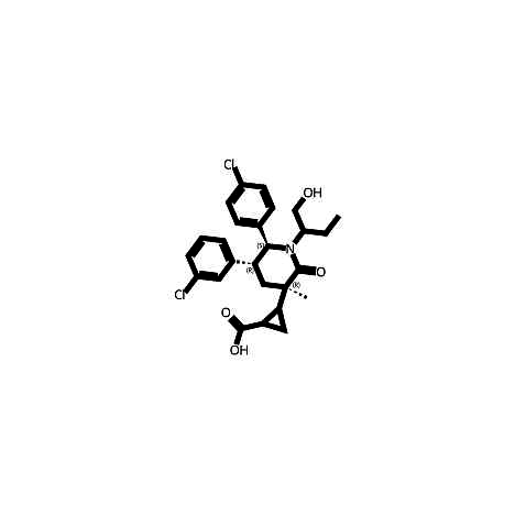 CCC(CO)N1C(=O)[C@@](C)(C2CC2C(=O)O)C[C@H](c2cccc(Cl)c2)[C@H]1c1ccc(Cl)cc1